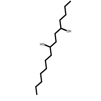 CCCCCCCC(O)CCC(O)CCCC